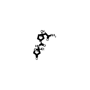 CC[C@@]1(NC(=O)[C@H]2CC[C@](C)(CC(N)=O)C2)CC(=O)CO1